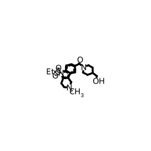 CCS(=O)(=O)n1c2c(c3cc(C(=O)N4CCC(CO)CC4)ccc31)CN(C)CC2